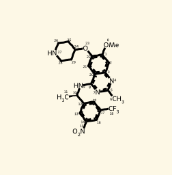 COc1cc2nc(C)nc(N[C@H](C)c3cc([N+](=O)[O-])cc(C(F)(F)F)c3)c2cc1OC1CCNCC1